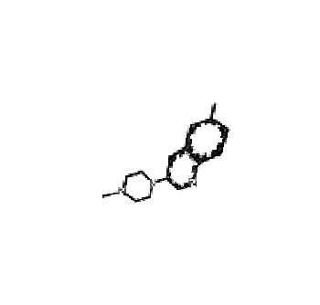 Cc1ccc2ncc(N3CCN(C)CC3)cc2c1